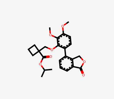 COc1ccc(-c2cccc3c2COC3=O)c(OCC2(C(=O)OC(C)C)CCC2)c1OC